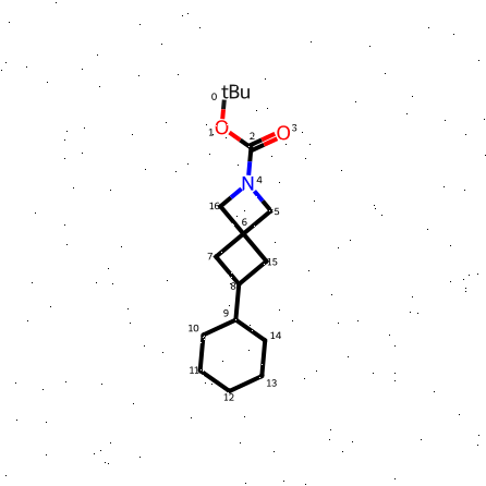 CC(C)(C)OC(=O)N1CC2(CC(C3CCCCC3)C2)C1